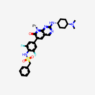 CC(C)n1c(=O)c(-c2cc(F)c(NS(=O)(=O)Cc3ccccc3)c(F)c2)cc2cnc(N[C@H]3CC[C@H](N(C)C)CC3)nc21